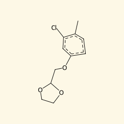 Cc1ccc(OCC2OCCO2)cc1Cl